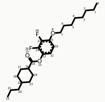 CCCCCCCCOc1ccc(OC(=O)C2CCC(CCC)CC2)c(F)c1F